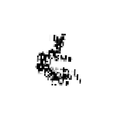 COc1nc(-c2ccnc(-c3cccc4c3CC[C@H]4Oc3nc(OC)c(CNC[C@@H](C)O)cc3C(F)(F)F)c2Cl)ccc1CN1CC2(CNC(=O)C2)C1